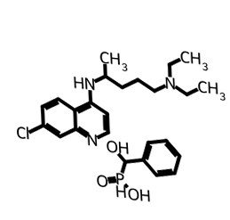 CCN(CC)CCCC(C)Nc1ccnc2cc(Cl)ccc12.O=[PH](O)C(O)c1ccccc1